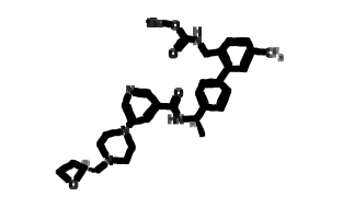 C[C@@H](NC(=O)c1cncc(N2CCN(C[C@H]3CCO3)CC2)c1)c1ccc(-c2cc(C(F)(F)F)ccc2CNC(=O)OC(C)(C)C)cc1